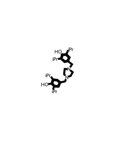 CC(C)c1cc(CN2CCN(Cc3cc(C(C)C)c(O)c(C(C)C)c3)CC2)cc(C(C)C)c1O